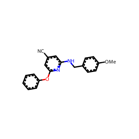 COc1ccc(CNc2cc(C#N)cc(Oc3ccccc3)n2)cc1